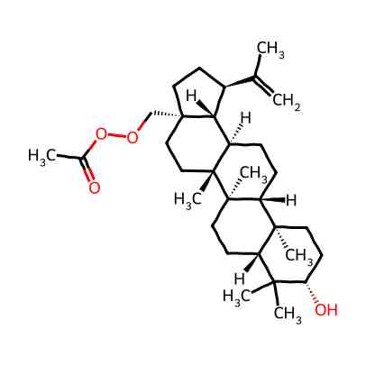 C=C(C)[C@@H]1CC[C@]2(COOC(C)=O)CC[C@]3(C)[C@H](CC[C@@H]4[C@@]5(C)CC[C@H](O)C(C)(C)[C@@H]5CC[C@]43C)[C@@H]12